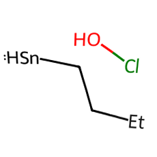 CCC[CH2][SnH].OCl